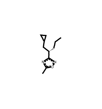 CCC[C@@H](CC1CC1)c1noc(C)n1